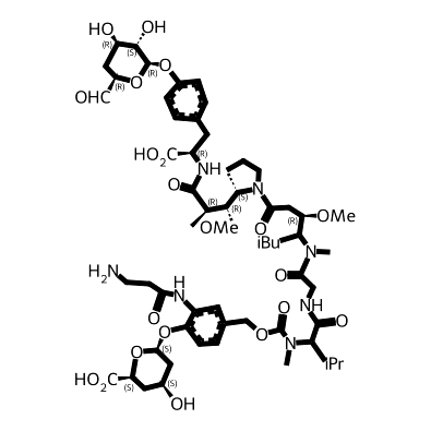 CCC(C)C([C@@H](CC(=O)N1CCC[C@H]1[C@H](OC)[C@@H](C)C(=O)N[C@H](Cc1ccc(O[C@H]2O[C@@H](C=O)C[C@@H](O)[C@@H]2O)cc1)C(=O)O)OC)N(C)C(=O)CNC(=O)C(C(C)C)N(C)C(=O)OCc1ccc(O[C@H]2C[C@@H](O)C[C@@H](C(=O)O)O2)c(NC(=O)CCN)c1